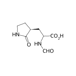 O=CNC(C[C@@H]1CCNC1=O)C(=O)O